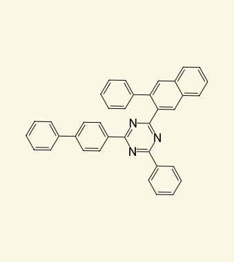 c1ccc(-c2ccc(-c3nc(-c4ccccc4)nc(-c4cc5ccccc5cc4-c4ccccc4)n3)cc2)cc1